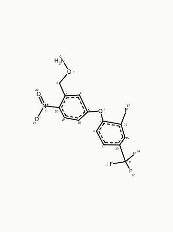 NOCc1cc(Oc2ccc(C(F)(F)F)cc2F)ccc1[N+](=O)[O-]